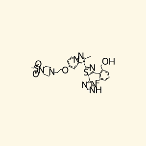 Cc1nn2ccc(OCCN3CCN(S(C)(=O)=O)CC3)cc2c1-c1nc(-c2c(F)cccc2CO)c(-c2nc[nH]n2)s1